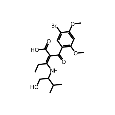 CCC(NC(CO)C(C)C)=C(C(=O)O)C(=O)c1cc(Br)c(OC)cc1OC